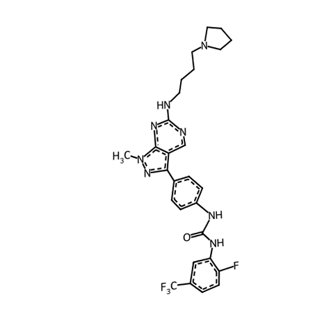 Cn1nc(-c2ccc(NC(=O)Nc3cc(C(F)(F)F)ccc3F)cc2)c2cnc(NCCCCN3CCCC3)nc21